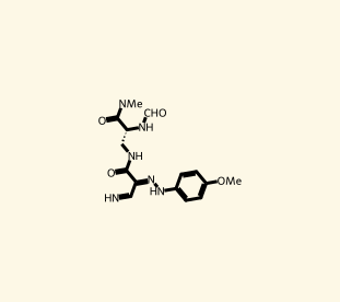 CNC(=O)[C@@H](CNC(=O)/C(C=N)=N/Nc1ccc(OC)cc1)NC=O